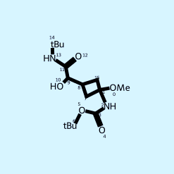 COC1(NC(=O)OC(C)(C)C)CC(C(O)C(=O)NC(C)(C)C)C1